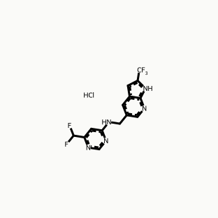 Cl.FC(F)c1cc(NCc2cnc3[nH]c(C(F)(F)F)cc3c2)ncn1